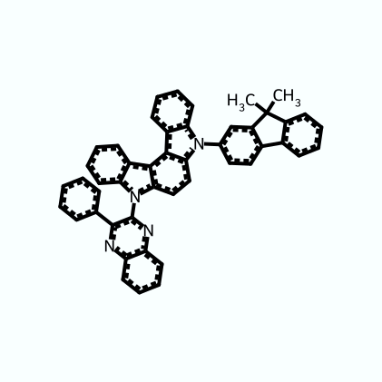 CC1(C)c2ccccc2-c2ccc(-n3c4ccccc4c4c5c6ccccc6n(-c6nc7ccccc7nc6-c6ccccc6)c5ccc43)cc21